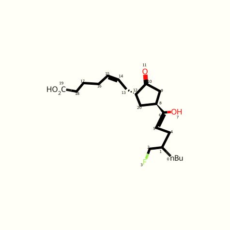 CCCCC(CF)CC=C(O)[C@@H]1CC(=O)[C@@H](C/C=C\CCCC(=O)O)C1